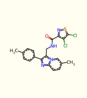 Cc1ccc(-c2nc3ccc(C)cn3c2CNC(=O)c2nsc(Cl)c2Cl)cc1